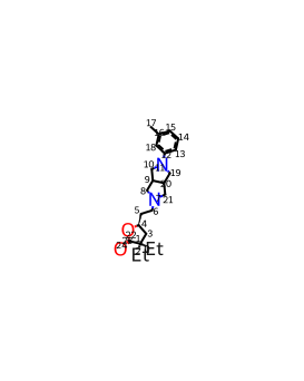 CCC1(CC)C[C@H](CCN2CC3CN(c4cccc(C)c4)CC3C2)OC1=O